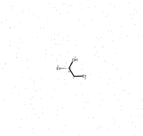 CCC[C@@H](O)CC